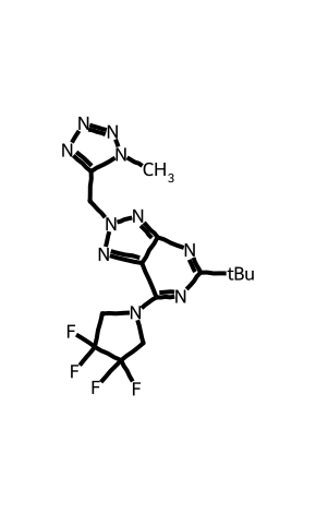 Cn1nnnc1Cn1nc2nc(C(C)(C)C)nc(N3CC(F)(F)C(F)(F)C3)c2n1